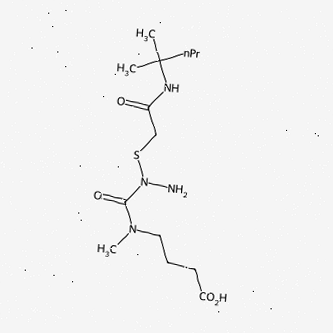 CCCC(C)(C)NC(=O)CSN(N)C(=O)N(C)CCCC(=O)O